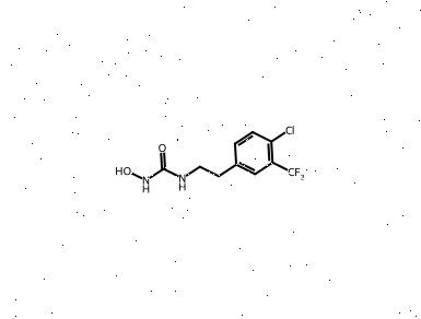 O=C(NO)NCCc1ccc(Cl)c(C(F)(F)F)c1